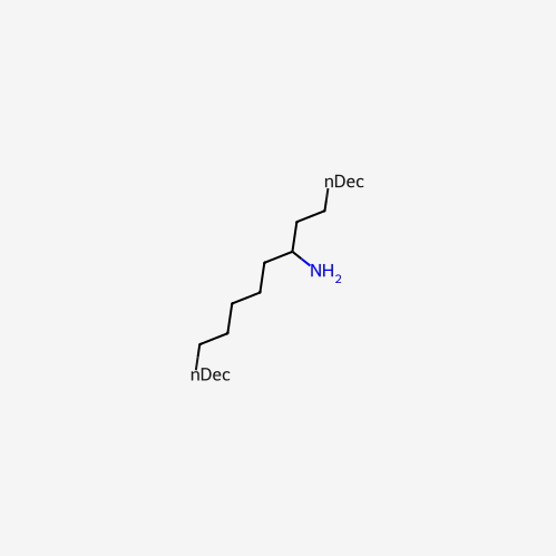 CCCCCCCCCCCCCCCC(N)CCCCCCCCCCCC